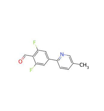 Cc1ccc(-c2cc(F)c(C=O)c(F)c2)nc1